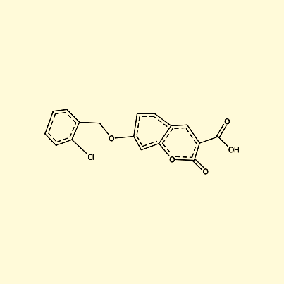 O=C(O)c1cc2ccc(OCc3ccccc3Cl)cc2oc1=O